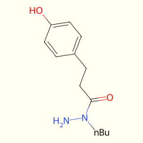 CCCCN(N)C(=O)CCc1ccc(O)cc1